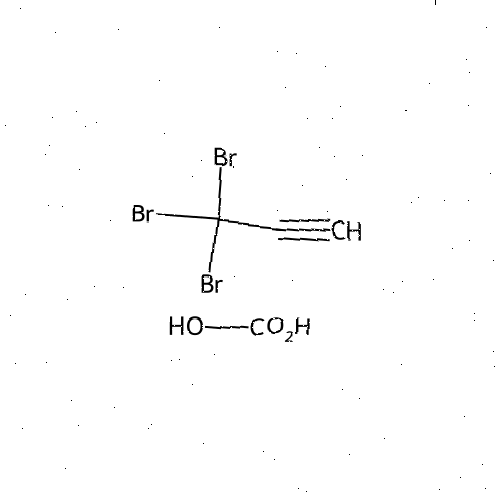 C#CC(Br)(Br)Br.O=C(O)O